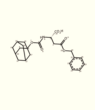 O=C(C[C@H](NC(=O)OC12CC3CC(CC(C3)C1)C2)C(=O)O)OCc1ccccc1